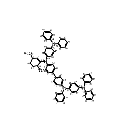 CC(=O)OC1C=C(N(c2ccc(-c3ccc(N(c4ccccc4)c4ccc(N(c5ccccc5)c5ccccc5)cc4)cc3)cc2)c2ccc(N(c3ccccc3)c3ccccc3)cc2)C(OC(C)=O)CC1